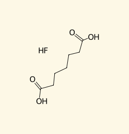 F.O=C(O)CCCCCC(=O)O